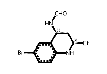 CC[C@@H]1C[C@H](NC=O)c2cc(Br)ccc2N1